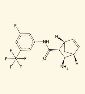 N[C@H]1[C@@H](C(=O)Nc2cc(F)cc(S(F)(F)(F)(F)F)c2)[C@@H]2C=C[C@H]1C2